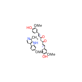 COc1cc(/C=C/C(=O)CC(=O)/C=C/c2ccc(O)c(OC)c2)ccc1O.COc1ccc2c(c1)[nH]c1c(C)nccc12